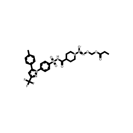 CCC(=O)OCO/N=[N+](\[O-])N1CCC(C(=O)NS(=O)(=O)c2ccc(-n3nc(C(F)(F)F)cc3-c3ccc(C)cc3)cc2)CC1